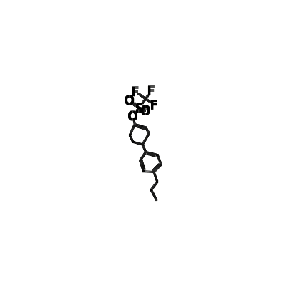 CCCc1ccc(C2CC=C(OS(=O)(=O)C(F)(F)F)CC2)cc1